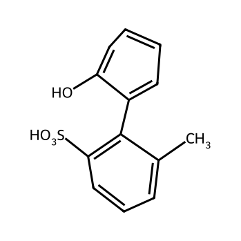 Cc1cccc(S(=O)(=O)O)c1-c1ccccc1O